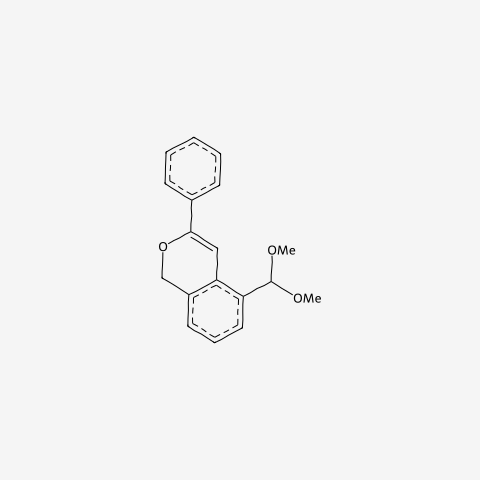 COC(OC)c1cccc2c1C=C(c1ccccc1)OC2